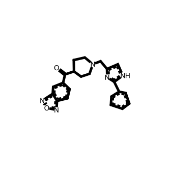 O=C(c1ccc2nonc2c1)C1CCN(Cc2c[nH]c(-c3ccccc3)n2)CC1